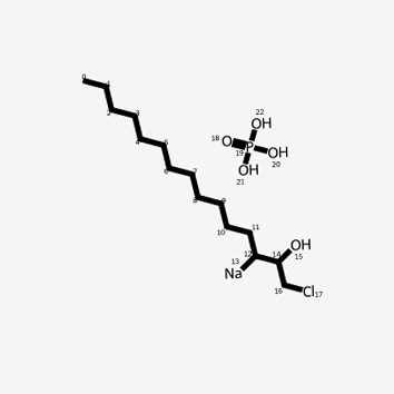 CCCCCCCCCCCC[CH]([Na])C(O)CCl.O=P(O)(O)O